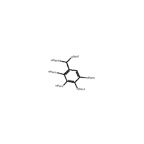 CCCCC[C](CCCCC)c1[c]c(CCCCC)c(CCCCC)c(CCCCC)c1CCCCC